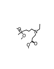 CCN(CCC[Si](C)(OC)OC)CCC(=O)OC